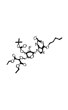 CCCCCOc1nc(Cl)nc2c1ncn2[C@@H]1O[C@H](COC(C(=O)OCC)C(=O)OCC)[C@@H](OC(=O)OC(C)(C)C)[C@@H]1F